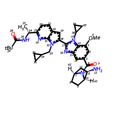 COc1cc(C(=O)N2[C@H]3CC[C@@H]2[C@H](N)C3)cc2nc(-c3cc4ccc([C@@H](C)NC(=O)C(C)(C)C)nc4n3CC3CC3)n(C3CC3)c12